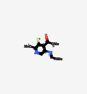 CN/C=N/c1cnc(OC)c(F)c1C(=O)OC